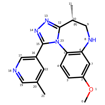 COc1ccc2c(c1)NC[C@@H](C)c1nnc(-c3cncc(C)c3)n1-2